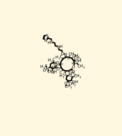 CC[C@H]1OC(=O)[C@H](C)[C@@H](O[C@H]2C[C@@](C)(OC)[C@H](O)[C@H](C)O2)[C@H](C)[C@H](O[C@@H]2O[C@H](C)CC([N+](C)(C)[O-])[C@@H]2O)[C@](C)(O)C[C@@H](C)/C(=N\OCCNCCNCc2nccs2)[C@H](C)[C@H](O)[C@]1(C)O